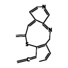 C=C=C/C1=C(\C=C/C)C/N=c2/cncc/c2=C/C(=C)S1